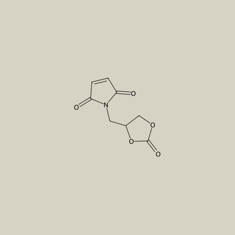 O=C1OCC(CN2C(=O)C=CC2=O)O1